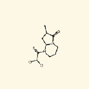 CC1CC2N(C(=O)C(Cl)Cl)CCCN2C1=O